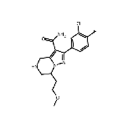 COCCC1CNCc2c(C(N)=O)c(-c3ccc(F)c(Cl)c3)nn21